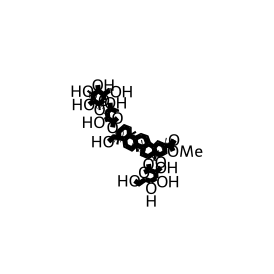 COC(=O)[C@@]1(C)CC[C@]2(C(=O)OC3OC(CO)C(O)C(O)C3O)CC[C@]3(C)C(=CCC4[C@@]5(C)CC[C@H](OC6OCC(O)C(O[C@@H]7OC(CO)C(O)[C@H](O)C7O)C6O)[C@@](C)(CO)C5CC[C@]43C)C2C1